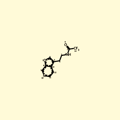 O=C(NCCc1coc2cnccc12)C(F)(F)F